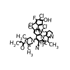 C=CC(=O)N1[C@H](C)CN(c2c(C#N)c(=O)n(C3=C(C)CCN=C3C(C)C)c3nc(-c4c(Cl)c(O)c(Cl)c(F)c4Cl)c(Cl)cc23)C[C@@H]1C